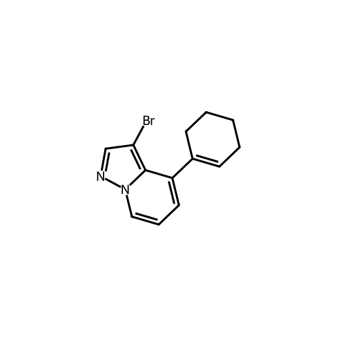 Brc1cnn2cccc(C3=CCCCC3)c12